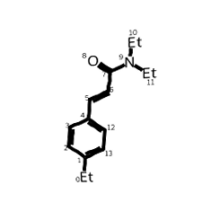 CCc1ccc(C=CC(=O)N(CC)CC)cc1